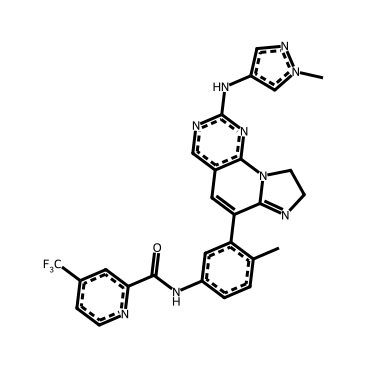 Cc1ccc(NC(=O)c2cc(C(F)(F)F)ccn2)cc1C1=Cc2cnc(Nc3cnn(C)c3)nc2N2CCN=C12